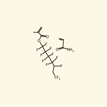 C=C(C)C(=O)OC(F)(F)C(F)(F)C(F)(F)C(F)(F)C(F)CC(F)(F)F.C=CC(N)=O